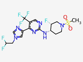 CS(=O)(=O)N1CC[C@H](Nc2ncc(C(F)(F)F)c(-c3cn(CC(F)F)cn3)n2)[C@H](F)C1